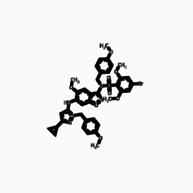 COc1ccc(CN(c2noc3cc(Nc4cc(C5CC5)nn4Cc4ccc(OC)cc4)c(OC)cc23)S(=O)(=O)c2c(OC)cc(Br)cc2OC)cc1